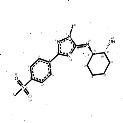 Cn1nc(-c2ccc(S(C)(=O)=O)cc2)sc1=N[C@@H]1CCCC[C@H]1O